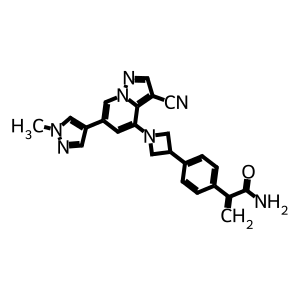 C=C(C(N)=O)c1ccc(C2CN(c3cc(-c4cnn(C)c4)cn4ncc(C#N)c34)C2)cc1